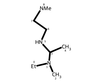 CCN(C)C(C)NCCNC